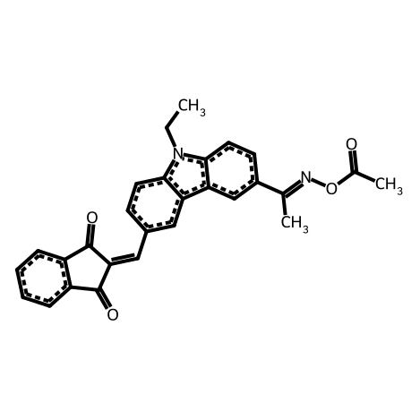 CCn1c2ccc(C=C3C(=O)c4ccccc4C3=O)cc2c2cc(/C(C)=N/OC(C)=O)ccc21